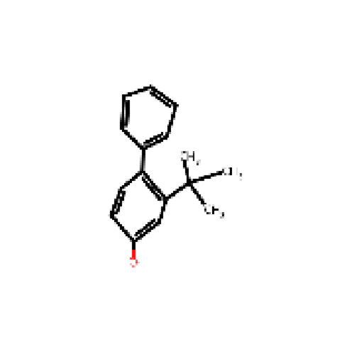 CC(C)(C)c1cc([O])ccc1-c1ccccc1